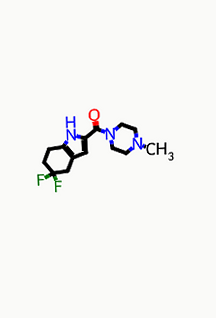 CN1CCN(C(=O)c2cc3c([nH]2)CCC(F)(F)C3)CC1